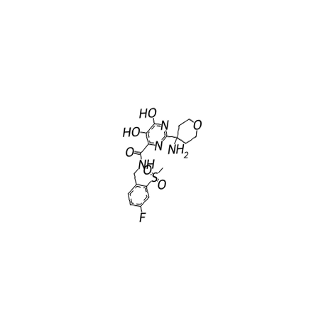 CS(=O)(=O)c1cc(F)ccc1CNC(=O)c1nc(C2(N)CCOCC2)nc(O)c1O